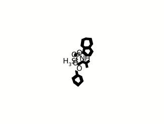 CC(C)[C@H](NP(=O)([SiH3])Oc1cccc2c1C=CCC=C2)C(=O)OCc1ccccc1